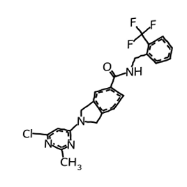 Cc1nc(Cl)cc(N2Cc3ccc(C(=O)NCc4ccccc4C(F)(F)F)cc3C2)n1